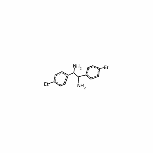 CCc1ccc(C(N)C(N)c2ccc(CC)cc2)cc1